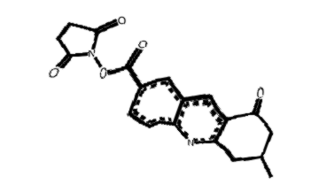 CC1CC(=O)c2cc3cc(C(=O)ON4C(=O)CCC4=O)ccc3nc2C1